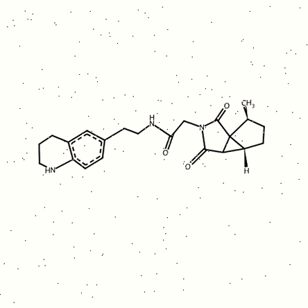 C[C@H]1CC[C@@H]2C3C(=O)N(CC(=O)NCCc4ccc5c(c4)CCCN5)C(=O)C321